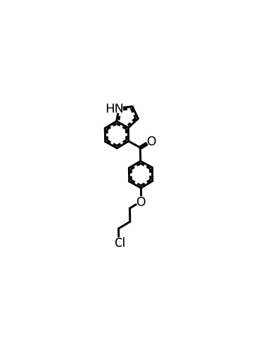 O=C(c1ccc(OCCCCl)cc1)c1cccc2[nH]ccc12